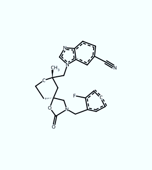 C[C@]1(Cn2cnc3ccc(C#N)cc32)CCC[C@@]2(CN(Cc3ccccc3F)C(=O)O2)C1